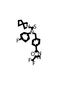 Fc1ccc(N(Cc2ccc(-c3nnc(C(F)F)o3)cc2)C(=S)N2CC3(CCC3)C2)cc1